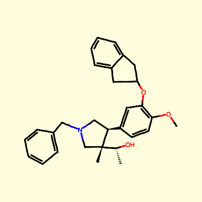 COc1ccc([C@@H]2CN(Cc3ccccc3)C[C@@]2(C)[C@@H](C)O)cc1OC1Cc2ccccc2C1